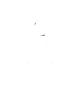 Nc1c2ncnc-2ncn1[C@@H]1O[C@H](CO)[C@@H](O)[C@H]1O